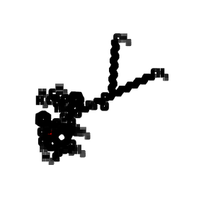 CCCCCCCCCCCCC(CCCCCCCCCC)COC(=O)CSSCC(=O)O[C@H](C(=O)O[C@@H]1C[C@]2(O)[C@H](OC(=O)c3ccccc3)[C@H]3[C@@]4(OC(C)=O)CO[C@H]4C[C@@H](OC)[C@]3(C)C(=O)[C@@H](OC)C(=C1C)C2(C)C)[C@H](NC(=O)OC(C)(C)C)c1ccccc1